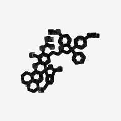 COc1ccc(C(CC(=O)CCc2cc3c(c(Cl)c2OC(=O)C(C)(C)C)Oc2c(cc4c5c2CCCN5CCC4)C32OC(=O)c3ccc(Br)cc32)(c2ccccc2)c2ccc(OC)cc2)cc1